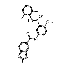 COc1ccc(NC(=O)c2ccc3sc(C)nc3c2)cc1[S+]([O-])Nc1c(C)cccc1C